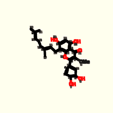 COc1c(-c2ccc(O)c(O)c2)oc2c(C/C=C(\C)CCC=C(C)C)c(O)cc(O)c2c1=O